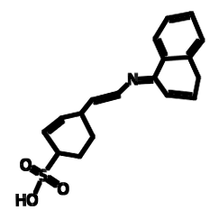 O=S(=O)(O)C1C=CC(C=CN=C2C=CCc3ccccc32)CC1